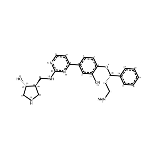 CNCC[C@H](Oc1ccc(-c2ccnc(NC[C@H]3CNC[C@@H]3O)n2)cc1C#N)c1ccccc1